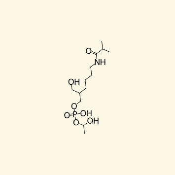 CC(O)OP(=O)(O)OCC(CO)CCCCNC(=O)C(C)C